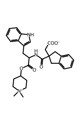 C[N+]1(C)CCC(OC(=O)C(Cc2c[nH]c3ccccc23)NC(=O)C2(CC(=O)[O-])Cc3ccccc3C2)CC1